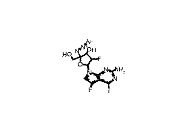 [N-]=[N+]=NC1(CO)OC(n2cc(F)c3c(I)nc(N)nc32)C(F)C1O